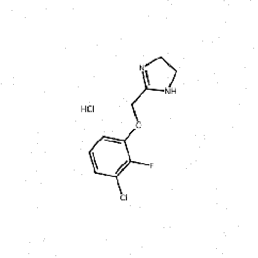 Cl.Fc1c(Cl)cccc1OCC1=NCCN1